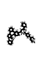 c1ccc(-c2cc(-c3ccc4c(c3)c3ccccc3c3ccc5c6ccccc6sc5c34)nc(-c3ccc(-c4ccncc4)cc3)n2)cc1